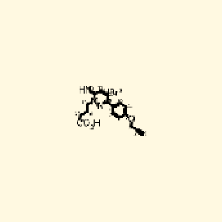 Br.C#CCOc1ccc(-c2ccc(=N)n(CCCC(=O)O)n2)cc1